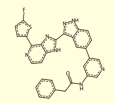 O=C(Cc1ccccc1)Nc1cncc(-c2ccc3[nH]nc(-c4nc5c(-c6ccc(F)s6)nccc5[nH]4)c3c2)c1